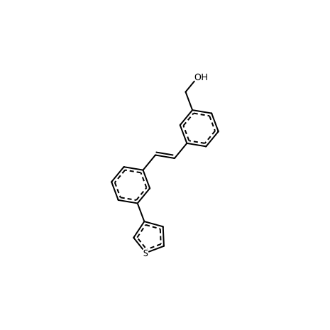 OCc1cccc(C=Cc2cccc(-c3ccsc3)c2)c1